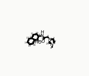 C[n+]1ccn(CC(=O)Nc2ccc3ccccc3c2O)c1